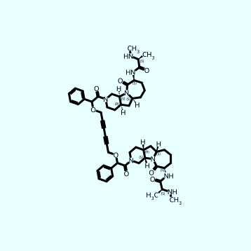 CN[C@@H](C)C(=O)N[C@H]1CCC[C@H]2C[C@H]3CCN(C(=O)C(OCC#CC#CCOC(C(=O)N4CC[C@@H]5C[C@@H]6CCC[C@H](NC(=O)[C@H](C)NC)C(=O)N6[C@@H]5C4)c4ccccc4)c4ccccc4)C[C@H]3N2C1=O